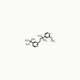 CSc1cc(C(C)(C)CCc2cc(C(C)(C)C)ccn2)ccn1